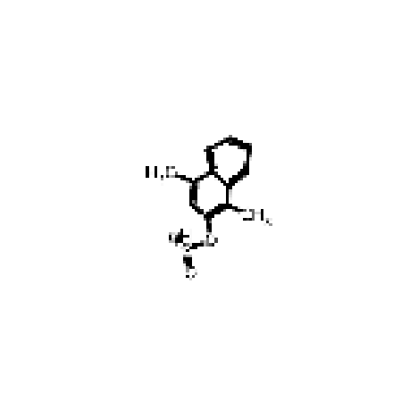 Cc1cc(O[SH](=O)=O)c(C)c2ccccc12